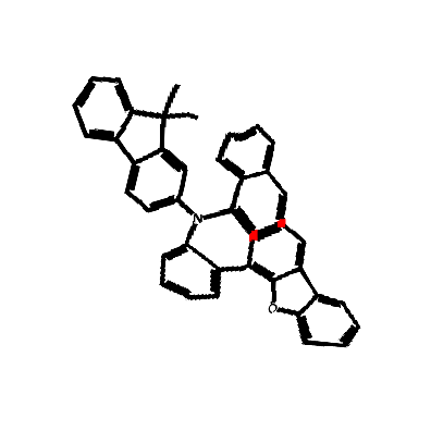 CC1(C)c2ccccc2-c2ccc(N(c3ccccc3-c3cccc4c3oc3ccccc34)c3cccc4ccccc34)cc21